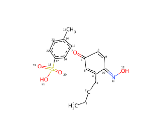 CCCCC1=CC(=O)C=CC1=NO.Cc1ccc(S(=O)(=O)O)cc1